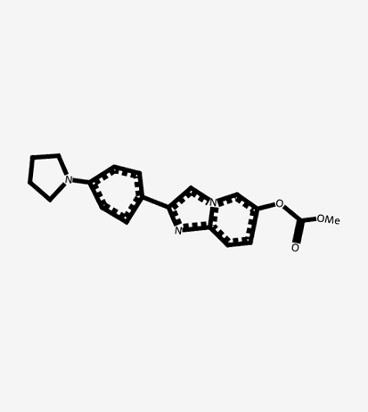 COC(=O)Oc1ccc2nc(-c3ccc(N4CCCC4)cc3)cn2c1